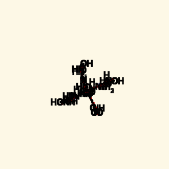 N=N/C(=C\NCCCCNC(=O)CCC(CCC(=O)NCCCCN/C=C(\N)CCCCNC(=O)Nc1ccc(O)cc1)(CCC(=O)NCCCCn1cc(CCCCNC(=O)Nc2ccc(O)cc2)nn1)NC(=O)CCCCCCCCCCC(=O)NCCN1C(=O)C=CC1=O)CCCCNC(=O)Nc1ccc(O)cc1